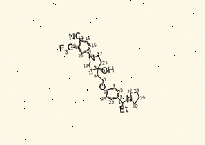 CCC(c1ccc(OCCC2(O)CCN(c3ccc(C#N)c(C(F)(F)F)c3)CC2)cc1)N1CCCC1